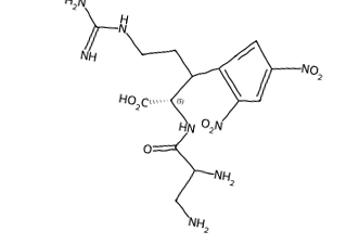 N=C(N)NCCC(c1ccc([N+](=O)[O-])cc1[N+](=O)[O-])[C@H](NC(=O)C(N)CN)C(=O)O